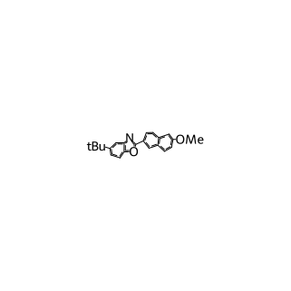 COc1ccc2cc(-c3nc4cc(C(C)(C)C)ccc4o3)ccc2c1